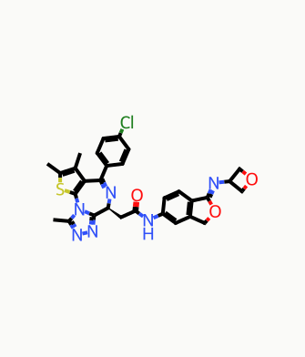 Cc1sc2c(c1C)C(c1ccc(Cl)cc1)=N[C@@H](CC(=O)Nc1ccc3c(c1)CO/C3=N\C1COC1)c1nnc(C)n1-2